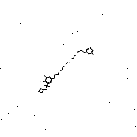 Cc1cc(CCC(=O)OCCOCCOCCOC(=O)CCc2cc(C)c(O)c(C(C)(C)CC3CCC3)c2)cc(C(C)(C)C)c1O